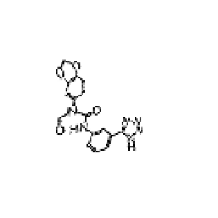 O=CN(C(=O)Nc1cccc(-c2nnn[nH]2)c1)c1ccc2c(c1)OCO2